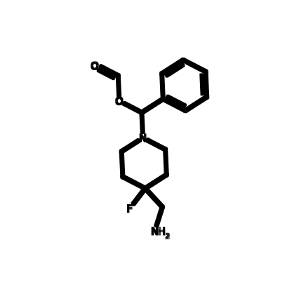 NCC1(F)CCN(C(OC=O)c2ccccc2)CC1